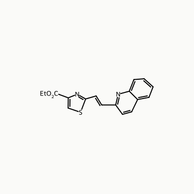 CCOC(=O)c1csc(C=Cc2ccc3ccccc3n2)n1